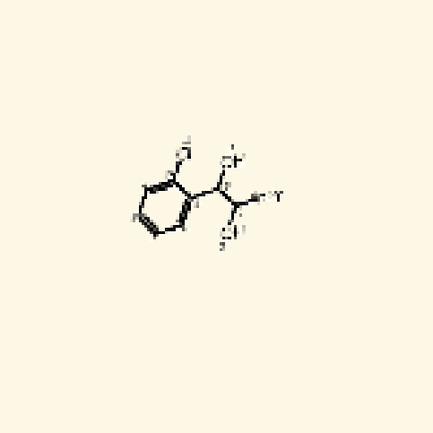 CCCC(O)C(O)c1ccccc1Cl